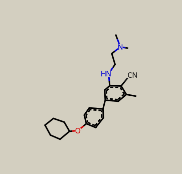 Cc1cc(-c2ccc(OC3CCCCC3)cc2)cc(NCCN(C)C)c1C#N